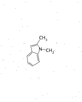 [CH2]n1c(C)cc2ccccc21